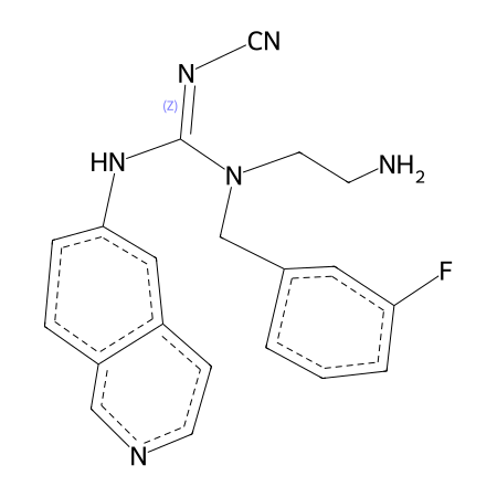 N#C/N=C(/Nc1ccc2cnccc2c1)N(CCN)Cc1cccc(F)c1